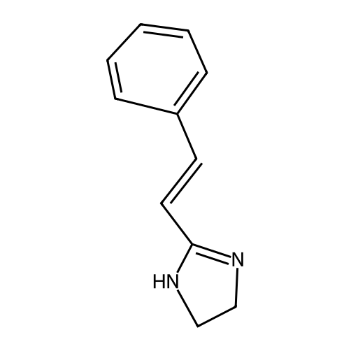 C(=Cc1ccccc1)C1=NCCN1